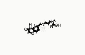 CN(CCCNCc1ccc2c(n1)NC(=O)CO2)C(=O)O